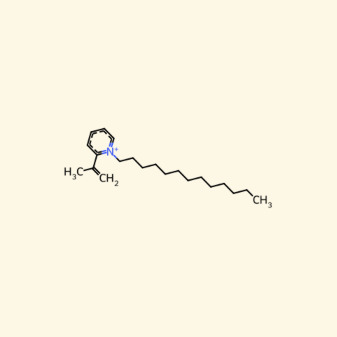 C=C(C)c1cccc[n+]1CCCCCCCCCCCCC